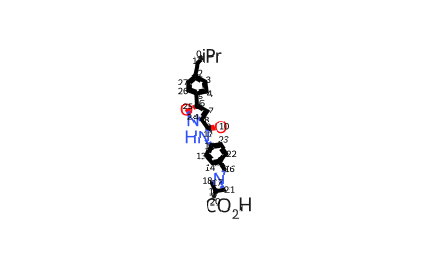 CC(C)Cc1ccc(-c2cc(C(=O)Nc3ccc(CN4CC(C(=O)O)C4)cc3)no2)cc1